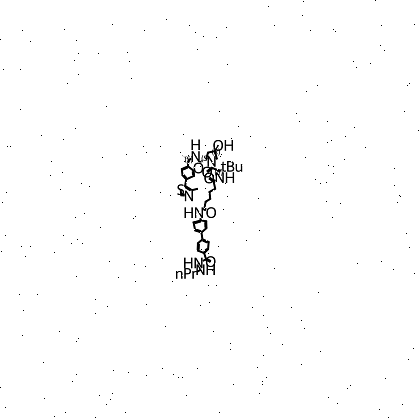 CCCNNC(=O)c1ccc(-c2ccc(NC(=O)CCCCC(=O)N[C@H](C(=O)N3C[C@H](O)C[C@H]3C(=O)N[C@@H](C)c3ccc(-c4scnc4C)cc3)C(C)(C)C)cc2)cc1